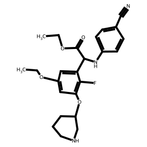 CCOC(=O)C(Nc1ccc(C#N)cc1)c1cc(OCC)cc(OC2CCCNC2)c1F